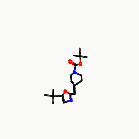 CC(C)(C)OC(=O)N1CCC(=Cc2ncc(C(C)(C)C)o2)CC1